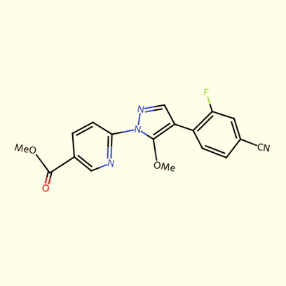 COC(=O)c1ccc(-n2ncc(-c3ccc(C#N)cc3F)c2OC)nc1